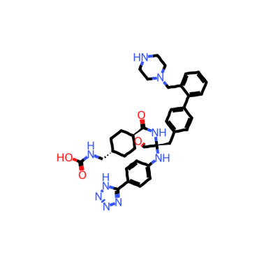 O=C[C@@](Cc1ccc(-c2ccccc2CN2CCNCC2)cc1)(Nc1ccc(-c2nnn[nH]2)cc1)NC(=O)[C@H]1CC[C@H](CNC(=O)O)CC1